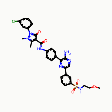 COCCNS(=O)(=O)c1cccc(-c2cnc(N)c(-c3ccc(NC(=O)c4c(C)n(C)n(-c5cccc(Cl)c5)c4=O)cc3)n2)c1